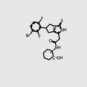 O=C(Cc1[nH]c(=S)n2c1CC(c1c(F)ccc(Br)c1F)C2)N[C@@H]1CCCC[C@H]1O